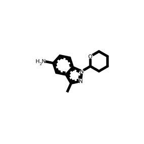 Cc1nn(C2CCCCO2)c2ccc(N)cc12